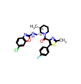 Cc1nc(C(=O)N2CCC[C@@H](C)[C@H]2CNc2nc3ccc(Cl)cc3o2)c(-c2ccc(F)cc2)s1